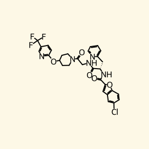 O=C(N[C@@H](Cc1ccccn1)C(=O)NCC(=O)N1CCC(Oc2ccc(C(F)(F)F)cn2)CC1)c1cc2cc(Cl)ccc2o1